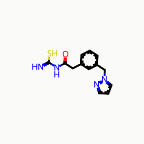 N=C(S)NC(=O)Cc1cccc(Cn2cccn2)c1